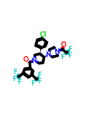 O=C(c1cc(C(F)(F)F)cc(C(F)(F)F)c1)N1CC[C@@H](N2CCN(C(=O)C(F)(F)F)CC2)[C@@H](c2ccc(Cl)cc2)C1